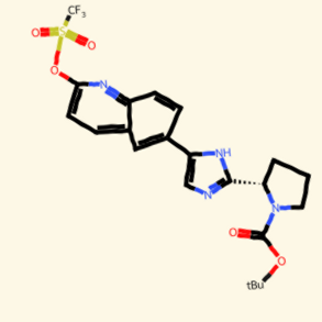 CC(C)(C)OC(=O)N1CCC[C@H]1c1ncc(-c2ccc3nc(OS(=O)(=O)C(F)(F)F)ccc3c2)[nH]1